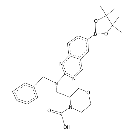 CC1(C)OB(c2ccc3nc(N(Cc4ccccc4)CC4COCCN4C(=O)O)ncc3c2)OC1(C)C